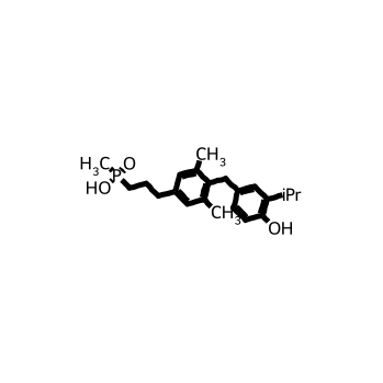 Cc1cc(CCCP(C)(=O)O)cc(C)c1Cc1ccc(O)c(C(C)C)c1